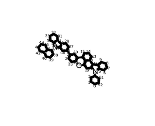 c1ccc(-n2c3ccccc3c3c4cccc5c4c(cc32)Oc2ccc(-c3ccc4c6ccccc6n(-c6cccc7ccccc67)c4c3)cc2-5)cc1